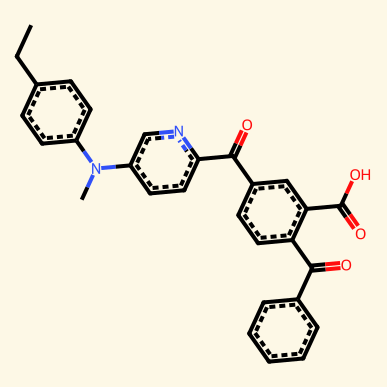 CCc1ccc(N(C)c2ccc(C(=O)c3ccc(C(=O)c4ccccc4)c(C(=O)O)c3)nc2)cc1